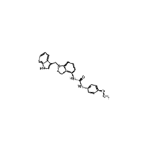 COc1ccc(NC(=O)Nc2cccc3c2CCN3Cc2c[nH]c3ncccc23)cc1